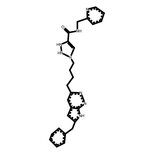 O=C(NCc1ccccn1)C1=CN(CCCCc2cc3cc(Cc4ccccc4)[nH]c3nn2)NN1